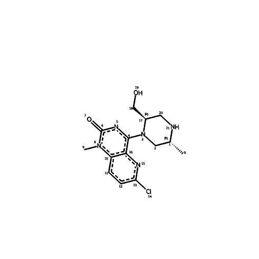 C[C@@H]1CN(c2nc(=O)n(C)c3ccc(Cl)nc23)[C@@H](CO)CN1